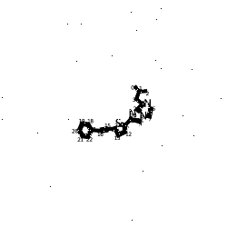 CC(C)Cc1nccn2[c]c(-c3ccc(C#Cc4ccccc4)s3)nc12